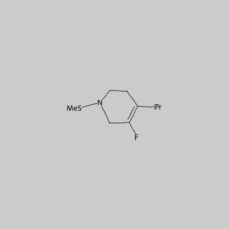 CSN1CCC(C(C)C)=C(F)C1